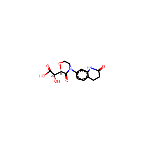 O=C1CCc2ccc(N3CCO[C@H]([C@@H](O)C(=O)O)C3=O)cc2N1